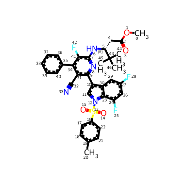 COC(=O)C[C@@H](Nc1nc(-c2cn(S(=O)(=O)c3ccc(C)cc3)c3c(F)cc(F)cc23)c(C#N)c(-c2ccccc2)c1F)C(C)(C)C